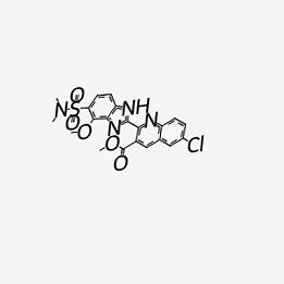 COC(=O)c1cc2cc(Cl)ccc2nc1-c1nc2c(OC)c(S(=O)(=O)N(C)C)ccc2[nH]1